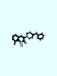 Cc1cccc2cc(N3CCC(Cc4ccccc4)CC3)c(=O)[nH]c12